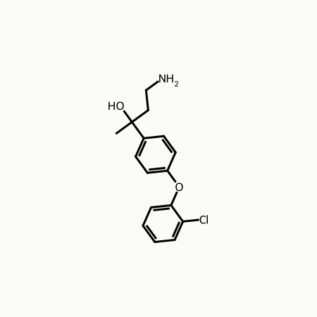 CC(O)(CCN)c1ccc(Oc2ccccc2Cl)cc1